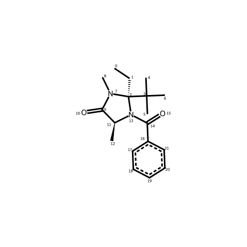 CC[C@@]1(C(C)(C)C)N(C)C(=O)[C@H](C)N1C(=O)c1ccccc1